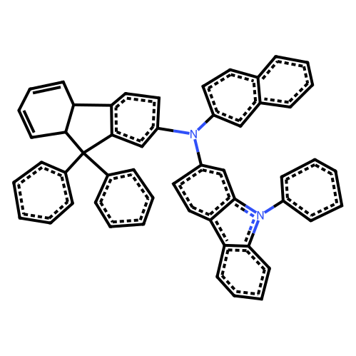 C1=CC2c3ccc(N(c4ccc5ccccc5c4)c4ccc5c6ccccc6n(-c6ccccc6)c5c4)cc3C(c3ccccc3)(c3ccccc3)C2C=C1